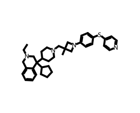 CCN1Cc2ccccc2C(C2CCCC2)(C2CCN(CC3(C)CN(c4ccc(Sc5ccncc5)cc4)C3)CC2)C1